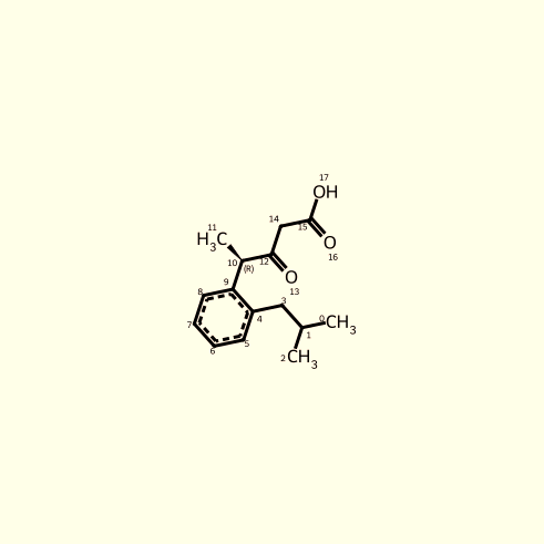 CC(C)Cc1ccccc1[C@@H](C)C(=O)CC(=O)O